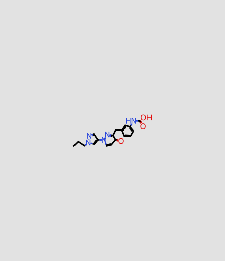 CCCn1cc(-n2ccc(=O)c(Cc3cccc(NC(=O)O)c3)n2)cn1